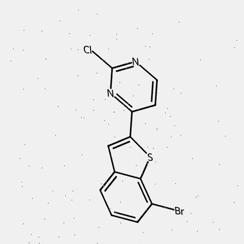 Clc1nccc(-c2cc3cccc(Br)c3s2)n1